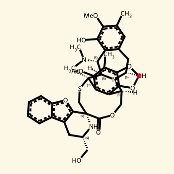 COc1c(C)cc2c(c1O)[C@@H](N(C)C)[C@@H]1[C@@H]3SC[C@@]4(N[C@H](CO)Cc5c4oc4ccccc54)C(=O)OC[C@@H](c4c5c(c(C)c(OC(C)=O)c43)OCO5)N1[C@@H](O)C2